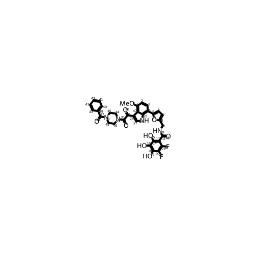 COc1ccc(-c2ccc(CNC(=O)c3c(O)c(O)c(O)c(F)c3F)o2)c2[nH]cc(C(=O)C(=O)N3CCN(C(=O)c4ccccc4)CC3)c12